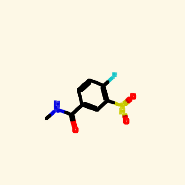 CNC(=O)c1ccc(F)c([SH](=O)=O)c1